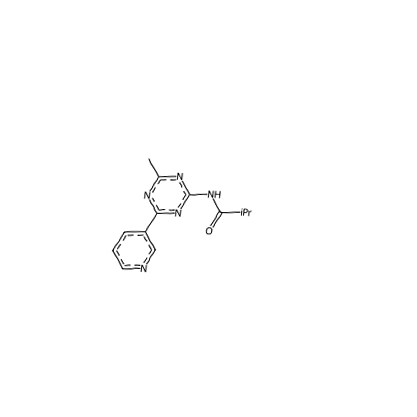 Cc1nc(NC(=O)C(C)C)nc(-c2cccnc2)n1